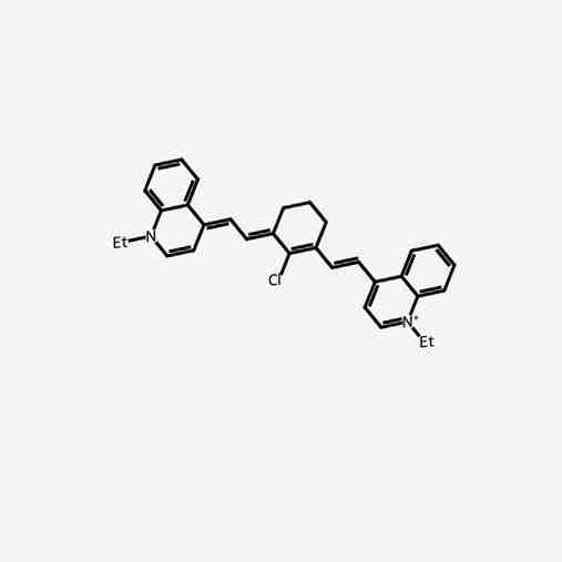 CCN1C=C/C(=C\C=C2/CCCC(/C=C/c3cc[n+](CC)c4ccccc34)=C2Cl)c2ccccc21